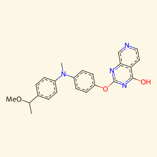 COC(C)c1ccc(N(C)c2ccc(Oc3nc(O)c4ccncc4n3)cc2)cc1